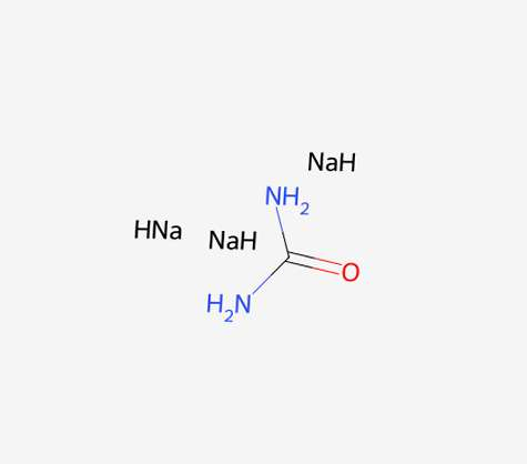 NC(N)=O.[NaH].[NaH].[NaH]